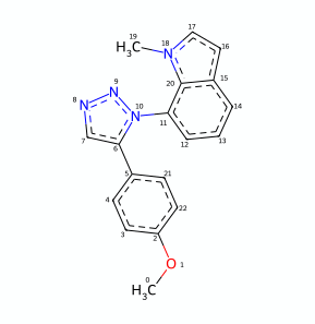 COc1ccc(-c2cnnn2-c2cccc3ccn(C)c23)cc1